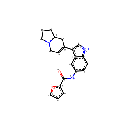 O=C(Nc1ccc2[nH]cc(C3=CCN4CCCC4C3)c2c1)c1ccco1